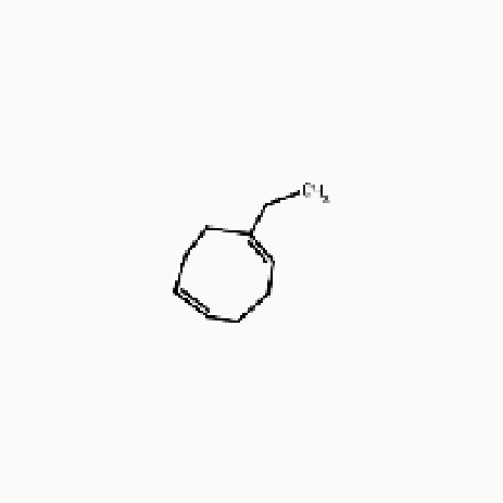 CCC1=CCCC=CCC1